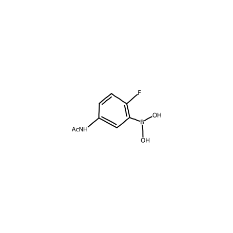 CC(=O)Nc1ccc(F)c(B(O)O)c1